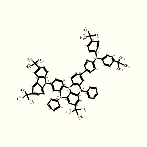 CC(C)(C)c1ccc(N(c2ccc(-c3ccc4c(c3)N(c3ccccc3)c3cc(C(C)(C)C)cc5c3B4c3ccc(-n4c6ccc(C(C)(C)C)cc6c6cc(C(C)(C)C)ccc64)cc3N5c3ccccc3)cc2)c2ccc(C(C)(C)C)cc2)cc1